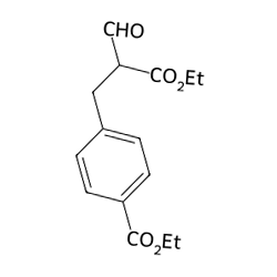 CCOC(=O)c1ccc(CC(C=O)C(=O)OCC)cc1